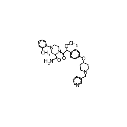 COC(C(=O)N1CCN(c2ccccc2C)CC1C(N)=O)c1ccc(OC2CCN(Cc3cccnc3)CC2)cc1